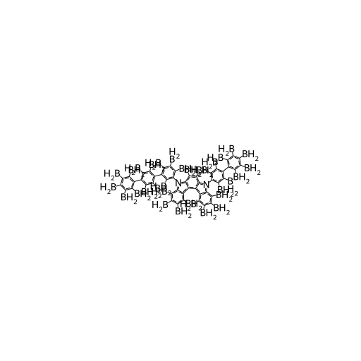 Bc1c(B)c(B)c(-c2c(B)c(B)c(-c3c(B)c(B)c(B)c(-n4c5c(B)c(B)c(B)c(B)c5c5c6c7c(B)c(B)c(B)c(B)c7n(-c7c(B)c(B)c(-c8c(B)c(B)c(B)c(B)c8B)c(B)c7B)c6c(B)c(B)c54)c3B)c(B)c2B)c(B)c1B